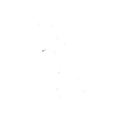 C[C@@H]1CN(C(=O)C(=O)Nc2cnc(N)c3cn[nH]c23)[C@@H](c2ccccc2)CN1C(=O)C(C)(C)CN(C)C